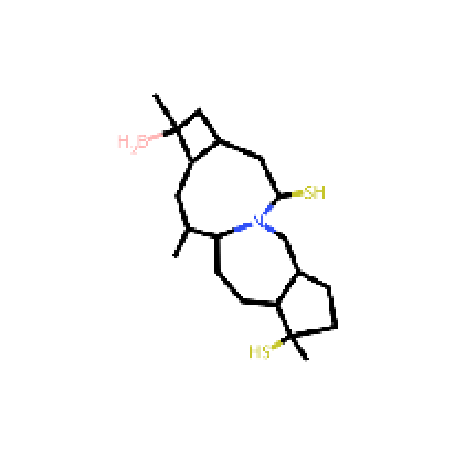 BC1(C)CC2CC(S)N3CC4CCC(C)(S)C4CCC3C(C)CC21